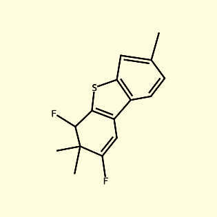 Cc1ccc2c3c(sc2c1)C(F)C(C)(C)C(F)=C3